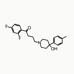 Cc1ccc(C2(O)CCN(CCCC(=O)c3ccc(F)cc3F)CC2)cc1